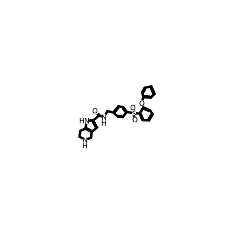 O=C(NCc1ccc(S(=O)(=O)c2ccccc2Oc2ccccc2)cc1)c1cc2c([nH]1)CCNC2